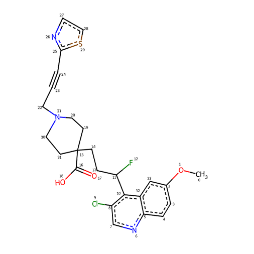 COc1ccc2ncc(Cl)c(C(F)CCC3(C(=O)O)CCN(CC#Cc4nccs4)CC3)c2c1